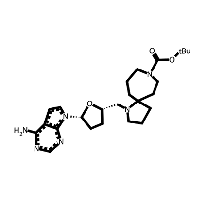 CC(C)(C)OC(=O)N1CCCC2(CCCN2C[C@@H]2CC[C@H](n3ccc4c(N)ncnc43)O2)CC1